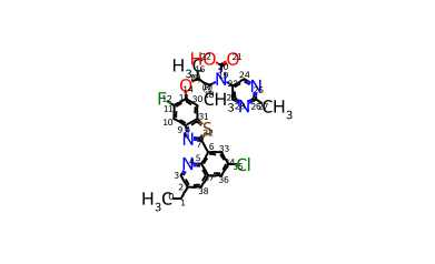 CCc1cnc2c(-c3nc4cc(F)c(O[C@@H](C)[C@@H](C)N(C(=O)O)c5cnc(C)nc5)cc4s3)cc(Cl)cc2c1